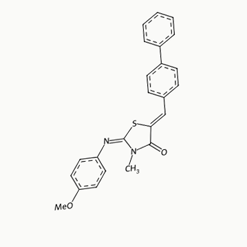 COc1ccc(/N=C2/S/C(=C\c3ccc(-c4ccccc4)cc3)C(=O)N2C)cc1